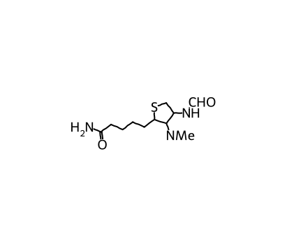 CNC1C(NC=O)CSC1CCCCC(N)=O